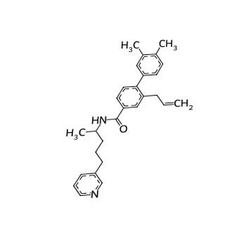 C=CCc1cc(C(=O)NC(C)CCCc2cccnc2)ccc1-c1ccc(C)c(C)c1